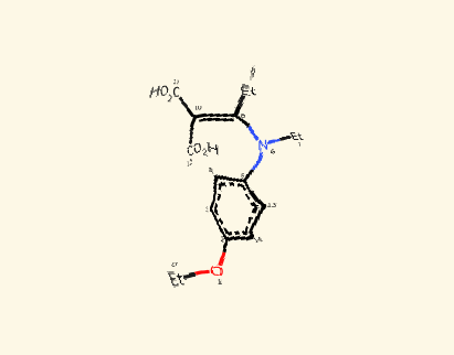 CCOc1ccc(N(CC)C(CC)=C(C(=O)O)C(=O)O)cc1